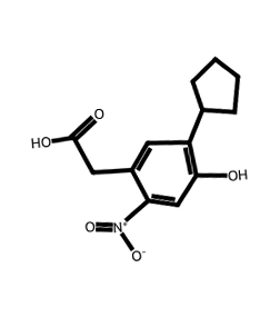 O=C(O)Cc1cc(C2CCCC2)c(O)cc1[N+](=O)[O-]